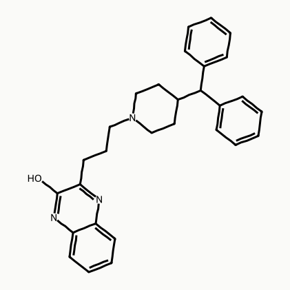 Oc1nc2ccccc2nc1CCCN1CCC(C(c2ccccc2)c2ccccc2)CC1